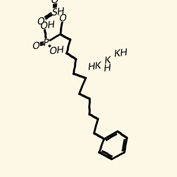 O=[SH](=O)OC(CCCCCCCCCCc1ccccc1)P(=O)(O)O.[KH].[KH].[KH]